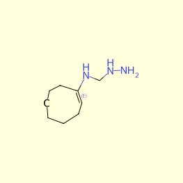 NNCN/C1=C/CCCCCC1